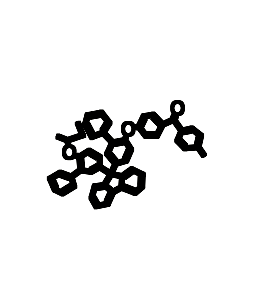 CCC(C)Oc1ccc(C2(c3ccc(Oc4ccc(C(=O)c5ccc(C)cc5)cc4)c(-c4ccccc4)c3)c3ccccc3-c3ccccc32)cc1-c1ccccc1